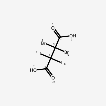 O=C(O)C(Br)(Br)C(I)(I)C(=O)O